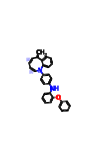 C=C1/C=C\C=C/N(c2ccc(Nc3ccccc3Oc3ccccc3)cc2)c2ccccc21